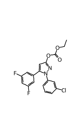 CCOC(=O)Oc1cc(-c2cc(F)cc(F)c2)n(-c2cccc(Cl)c2)n1